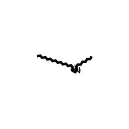 CCCCCCCCCCCCCCN1C=CN(C)C1CCCCCCC